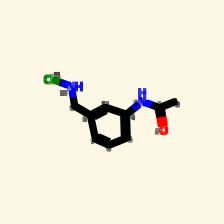 CC(=O)Nc1cccc(CNCl)c1